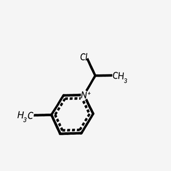 C[C](Cl)[n+]1cccc(C)c1